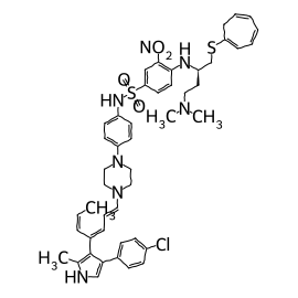 C\C=C/C(=C\C=C\N1CCN(c2ccc(NS(=O)(=O)c3ccc(N[C@H](CCN(C)C)CSC4=CC=CC=CC4)c([N+](=O)[O-])c3)cc2)CC1)c1c(-c2ccc(Cl)cc2)c[nH]c1C